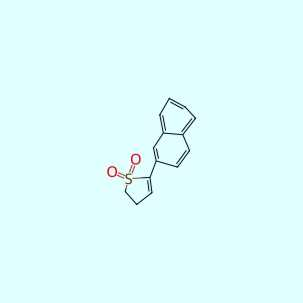 O=S1(=O)CCC=C1c1ccc2ccccc2c1